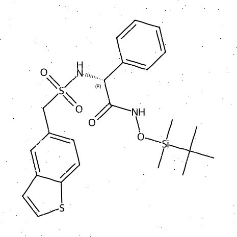 CC(C)(C)[Si](C)(C)ONC(=O)[C@H](NS(=O)(=O)Cc1ccc2sccc2c1)c1ccccc1